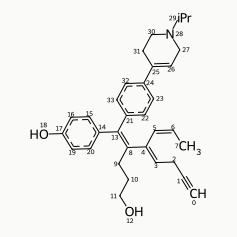 C#CC/C=C(\C=C/C)C(/CCCO)=C(/c1ccc(O)cc1)c1ccc(C2=CCN(C(C)C)CC2)cc1